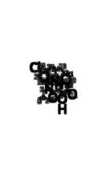 CC(C)CN1C(=O)c2c(O)c(=O)ccn2N(C23c4ccccc4CC2Cc2c(Cl)cccc23)C1C